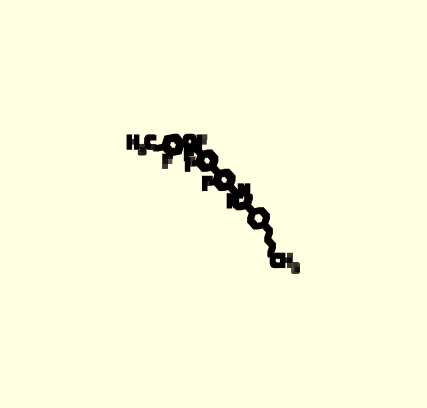 CCCCCC1CCC(c2cnc(-c3ccc(-c4ccc(C(F)(F)Oc5ccc(CC)c(F)c5)c(F)c4)c(F)c3)nc2)CC1